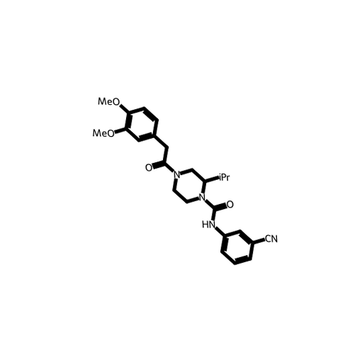 COc1ccc(CC(=O)N2CCN(C(=O)Nc3cccc(C#N)c3)C(C(C)C)C2)cc1OC